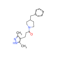 Cc1n[nH]c(C)c1CCC(=O)N1CCC(Cc2ccccc2)CC1